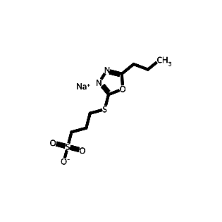 CCCc1nnc(SCCCS(=O)(=O)[O-])o1.[Na+]